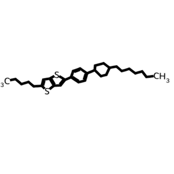 CCCCCCCC1CCC(c2ccc(-c3cc4sc(CCCCC)cc4s3)cc2)CC1